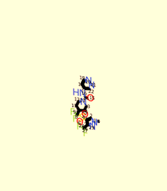 Cn1cc(S(=O)(=O)C(F)(F)C2CCN(C(=O)Nc3ccnnc3)CC2)c(C(F)F)n1